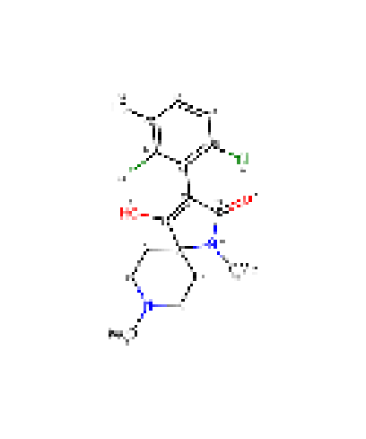 CON1CCC2(CC1)C(O)=C(c1c(Cl)ccc(C)c1F)C(=O)N2OC